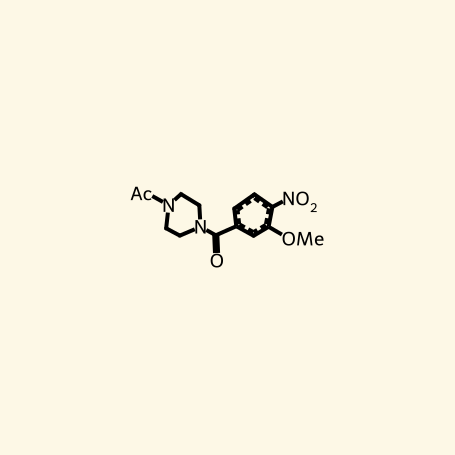 COc1cc(C(=O)N2CCN(C(C)=O)CC2)ccc1[N+](=O)[O-]